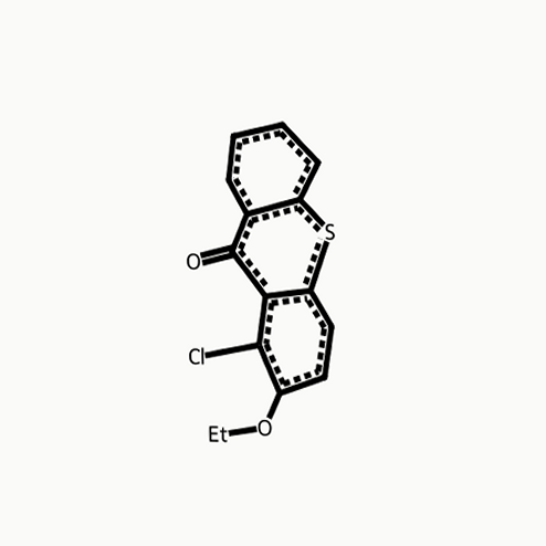 CCOc1ccc2sc3ccccc3c(=O)c2c1Cl